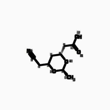 C[C@H]1OC(CC#N)C[C@H](CC(=O)O)O1